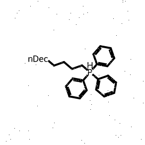 CCCCCCCCCCCCCC[PH](c1ccccc1)(c1ccccc1)c1ccccc1